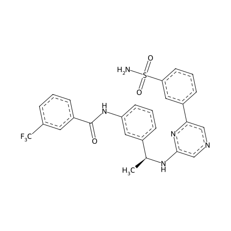 C[C@H](Nc1cncc(-c2cccc(S(N)(=O)=O)c2)n1)c1cccc(NC(=O)c2cccc(C(F)(F)F)c2)c1